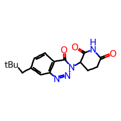 CC(C)(C)Cc1ccc2c(=O)n(C3CCC(=O)NC3=O)nnc2c1